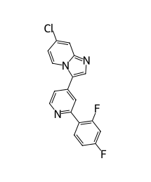 Fc1ccc(-c2cc(-c3cnc4cc(Cl)ccn34)ccn2)c(F)c1